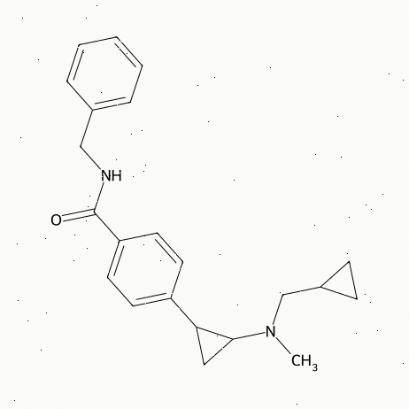 CN(CC1CC1)C1CC1c1ccc(C(=O)NCc2ccccc2)cc1